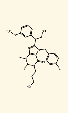 CN1c2nc(C(CO)c3cccc(OC(F)(F)F)c3)n(Cc3ccc(Cl)cc3)c2C(=O)N(CCCO)C1O